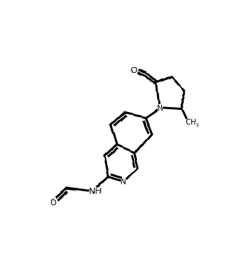 CC1CCC(=O)N1c1ccc2cc(NC=O)ncc2c1